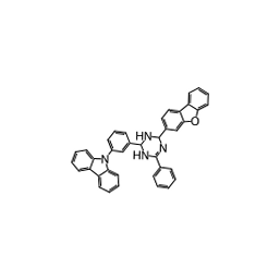 c1ccc(C2=NC(c3ccc4c(c3)oc3ccccc34)NC(c3cccc(-n4c5ccccc5c5ccccc54)c3)N2)cc1